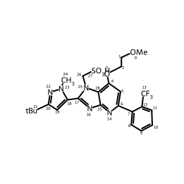 COCCOc1cc(-c2ccccc2C(F)(F)F)nc2nc(-c3cc(C(C)(C)C)nn3C)n(CS(=O)(=O)O)c12